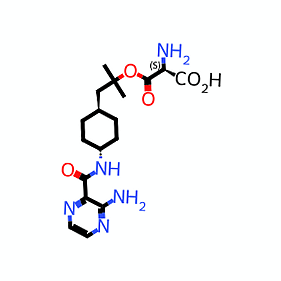 CC(C)(C[C@H]1CC[C@H](NC(=O)c2nccnc2N)CC1)OC(=O)[C@@H](N)C(=O)O